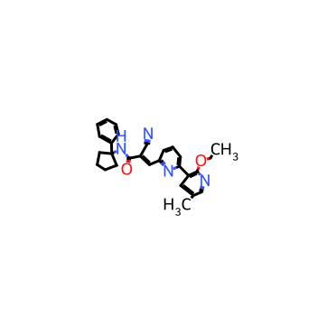 CCOc1ncc(C)cc1-c1cccc(/C=C(\C#N)C(=O)NC2(c3ccccc3)CCCC2)n1